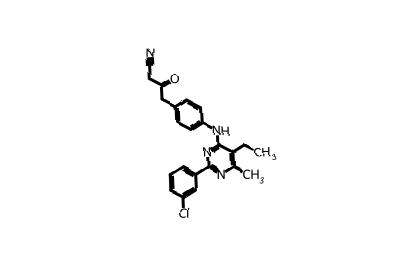 CCc1c(C)nc(-c2cccc(Cl)c2)nc1Nc1ccc(CC(=O)CC#N)cc1